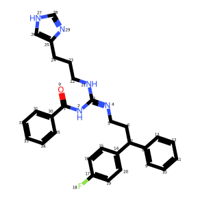 O=C(NC(=NCCC(c1ccccc1)c1ccc(F)cc1)NCCCc1c[nH]cn1)c1ccccc1